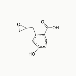 O=C(O)c1ccc(O)cc1CC1CO1